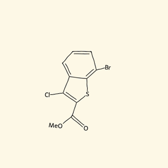 COC(=O)c1sc2c(Br)cccc2c1Cl